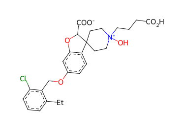 CCc1cccc(Cl)c1COc1ccc2c(c1)OC(C(=O)[O-])C21CC[N+](O)(CCCC(=O)O)CC1